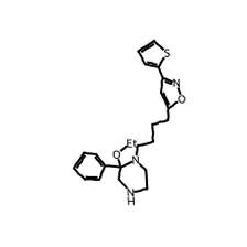 CCOC1(c2ccccc2)CNCCN1CCCCc1cc(-c2cccs2)no1